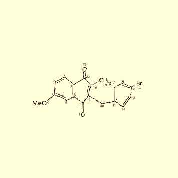 COc1ccc2c(c1)C(=O)C(Cc1ccc(Br)cc1)=C(C)C2=O